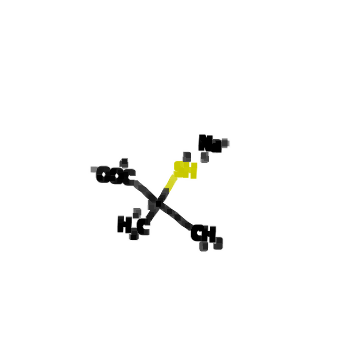 CC(C)(S)C(=O)[O-].[Na+]